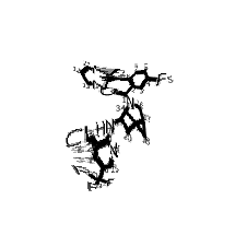 O=C(c1cc(F)ccc1-c1ncccn1)N1CC2CC23CC(Nc2ncc(C(F)(F)F)cc2Cl)C13